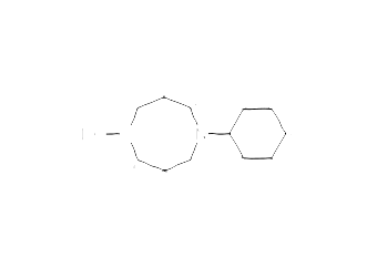 [CH3][Ga]1[CH2]CCN(C2CCCCC2)CC[CH2]1